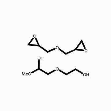 C(OCC1CO1)C1CO1.COC(O)COCCO